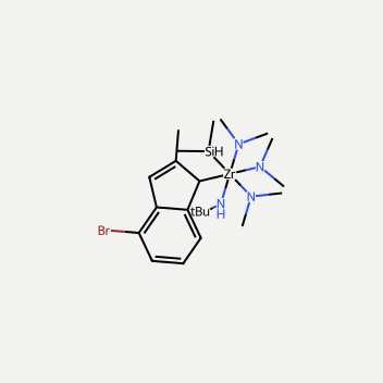 CC1=Cc2c(Br)cccc2[CH]1[Zr]([NH]C(C)(C)C)([N](C)C)([N](C)C)([N](C)C)[SiH](C)C